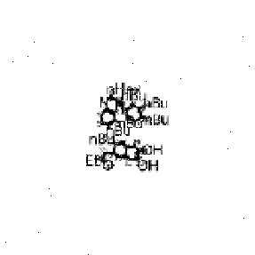 CCCCCCC(=Nc1ccc(CCCC)c(CCCC)c1)C(CCCC)=Nc1ccc(CCCC)c(CCCC)c1.CCCCc1cc2cc(O)c(O)cc2cc1CC(=O)CC